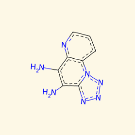 Nc1c(N)c2nnnn2c2cccnc12